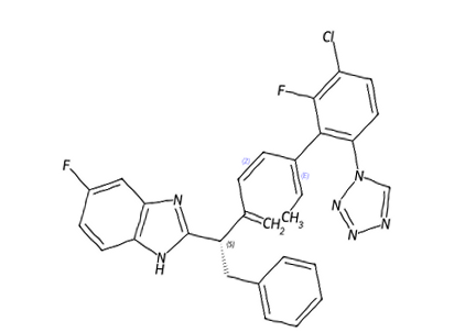 C=C(/C=C\C(=C/C)c1c(-n2cnnn2)ccc(Cl)c1F)[C@H](Cc1ccccc1)c1nc2cc(F)ccc2[nH]1